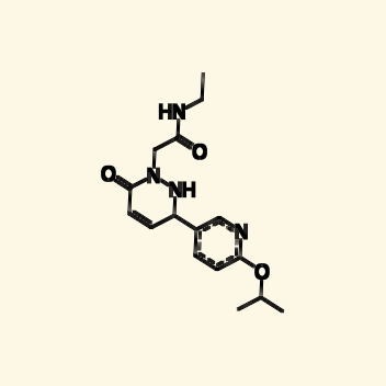 CCNC(=O)CN1NC(c2ccc(OC(C)C)nc2)C=CC1=O